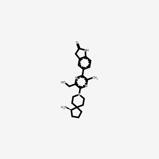 Cc1nc(N2CCC3(CCC[C@H]3N)CC2)c(CO)nc1-c1ccc2c(c1)CC(=O)N2